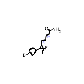 NC(=O)/C=C/C=C/C1C(c2ccc(Br)cc2)C1(F)F